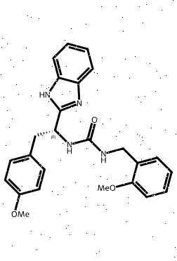 COc1ccc(C[C@@H](NC(=O)NCc2ccccc2OC)c2nc3ccccc3[nH]2)cc1